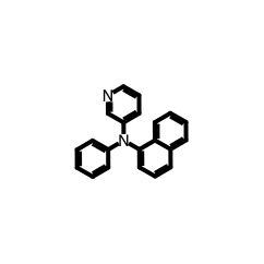 c1ccc(N(c2cccnc2)c2cccc3ccccc23)cc1